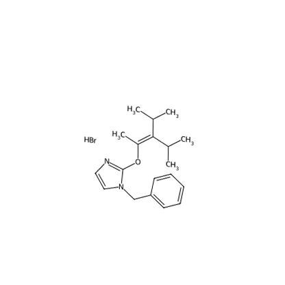 Br.CC(Oc1nccn1Cc1ccccc1)=C(C(C)C)C(C)C